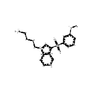 COc1cccc(S(=O)(=O)c2cn(CCCCN)c3ccncc23)c1